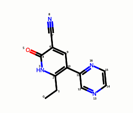 CCc1[nH]c(=O)c(C#N)cc1-c1cnccn1